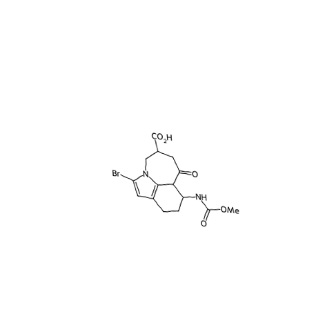 COC(=O)NC1CCc2cc(Br)n3c2C1C(=O)CC(C(=O)O)C3